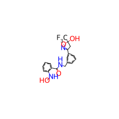 O=C(NCc1cccc(C2=NOC(O)(C(F)(F)F)C2)c1)c1ccccc1NO